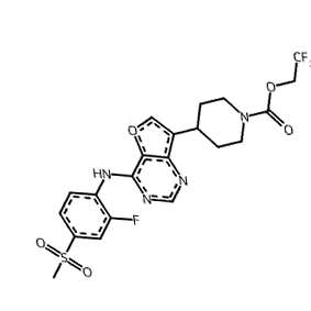 CS(=O)(=O)c1ccc(Nc2ncnc3c(C4CCN(C(=O)OCC(F)(F)F)CC4)coc23)c(F)c1